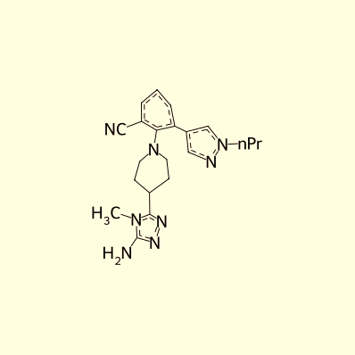 CCCn1cc(-c2cccc(C#N)c2N2CCC(c3nnc(N)n3C)CC2)cn1